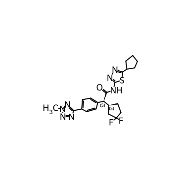 Cn1nnc(-c2ccc([C@@H](C(=O)Nc3nnc(C4CCCC4)s3)[C@H]3CCC(F)(F)C3)cc2)n1